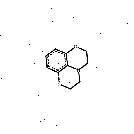 c1cc2c3c(c1)SCCN3CCO2